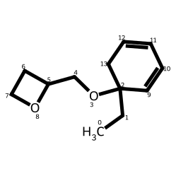 CCC1(OCC2CCO2)C=CC=CC1